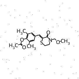 COCN1CCSC(=Cc2cc(C)c(OC(C)=O)c(C)c2)C1=O